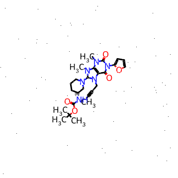 CC#CCN1c2c(n(C)c(=O)n(-c3ccco3)c2=O)N(C)C1N1CCC[C@@H](NC(=O)OC(C)(C)C)C1